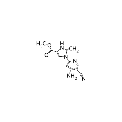 C=C1NC(C(=O)OC)=CN1c1cc(N)c(C#N)cn1